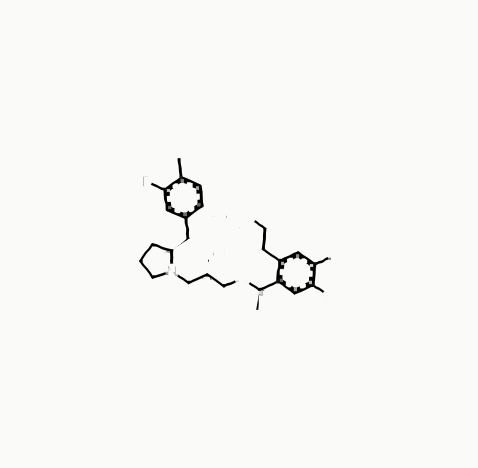 CCOC(=O)CCc1cc(F)c(Cl)cc1[C@@H](C)OC[C@@H](O)CN1CCC[C@H]1Cc1ccc(C)c(F)c1